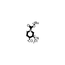 CCOC(=O)[C@H]1CCN(C(=O)OC(C)(C)C)C[C@H]1C#N